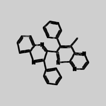 Cc1c(-c2ccccc2)c(-c2nc3ccccc3nc2-c2ccccc2)nc2nccnc12